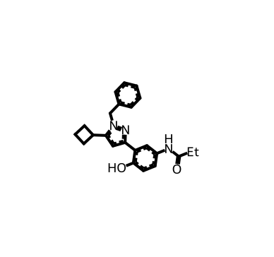 CCC(=O)Nc1ccc(O)c(-c2cc(C3CCC3)n(Cc3ccccc3)n2)c1